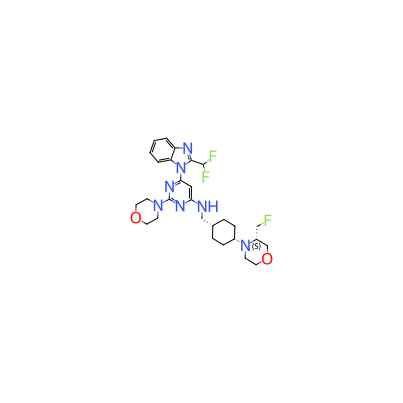 FC[C@@H]1COCCN1[C@H]1CC[C@@H](CNc2cc(-n3c(C(F)F)nc4ccccc43)nc(N3CCOCC3)n2)CC1